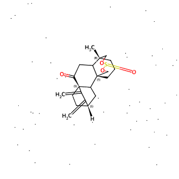 C=C1C(=C)[C@]23CC[C@H]1CC2[C@@]12CCC[C@@](C)(COS(=O)OC1)C2CC3=O